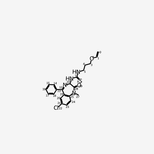 C=COCCCNC(=S)NC1N=C(c2ccccc2)c2cc(Cl)ccc2N(C)C1=O